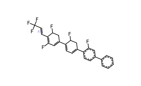 FC1=C(/C=C/C(F)(F)F)C(F)CC(C2=CC=C(c3ccc(-c4ccccc4)cc3F)CC2F)=C1